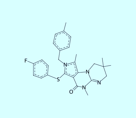 Cc1ccc(Cn2c(C)c3c(c2Sc2ccc(F)cc2)C(=O)N(C)C2=NCC(C)(C)CN23)cc1